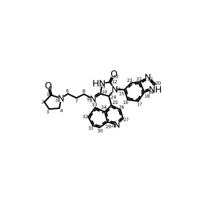 O=C1CCCN1CCCN=C1NC(=O)N(c2ccc3[nH]cnc3c2)C1c1ccnc2ccccc12